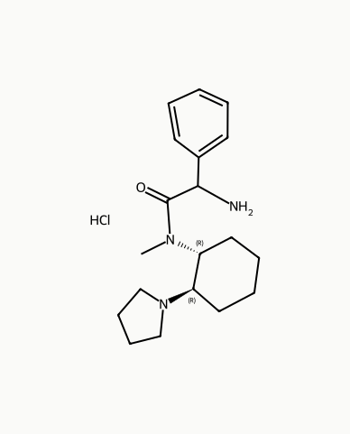 CN(C(=O)C(N)c1ccccc1)[C@@H]1CCCC[C@H]1N1CCCC1.Cl